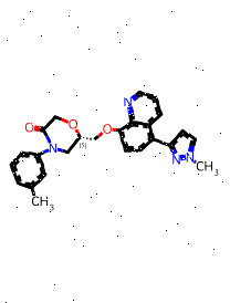 Cc1cccc(N2C[C@@H](COc3ccc(-c4ccn(C)n4)c4cccnc34)OCC2=O)c1